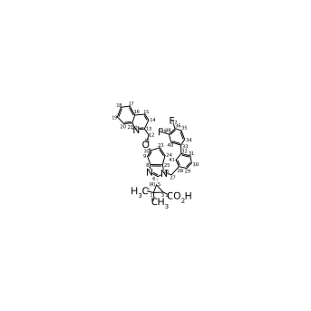 CC1(C)C(C(=O)O)[C@H]1c1nc2cc(OCc3ccc4ccccc4n3)ccc2n1Cc1cccc(-c2ccc(F)c(F)c2)c1